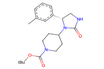 Cc1cccc([C@@H]2CNC(=O)N2C2CCN(C(=O)OC(C)(C)C)CC2)c1